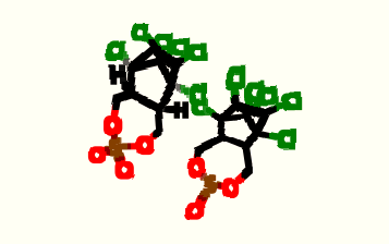 O=S1(=O)OC[C@@H]2[C@H](CO1)[C@@]1(Cl)C(Cl)=C(Cl)[C@]2(Cl)C1(Cl)Cl.O=S1OCC2C(CO1)C1(Cl)C(Cl)=C(Cl)C2(Cl)C1(Cl)Cl